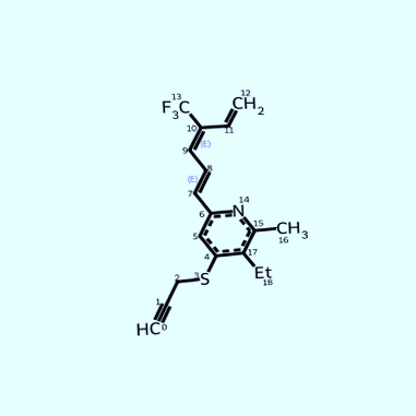 C#CCSc1cc(/C=C/C=C(\C=C)C(F)(F)F)nc(C)c1CC